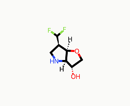 O[C@H]1CO[C@H]2[C@@H]1NC[C@H]2C(F)F